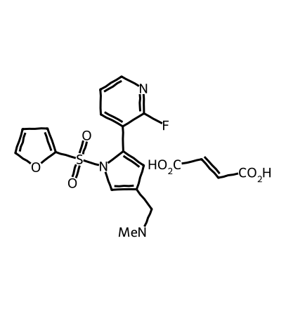 CNCc1cc(-c2cccnc2F)n(S(=O)(=O)c2ccco2)c1.O=C(O)C=CC(=O)O